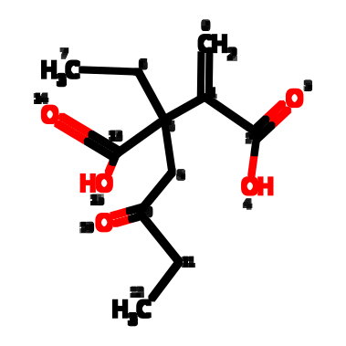 C=C(C(=O)O)C(CC)(CC(=O)CC)C(=O)O